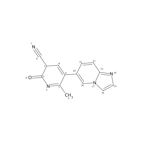 CC1=NC(=O)C(C#N)C=C1c1ccc2nccn2c1